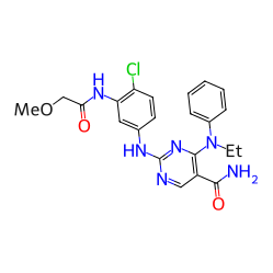 CCN(c1ccccc1)c1nc(Nc2ccc(Cl)c(NC(=O)COC)c2)ncc1C(N)=O